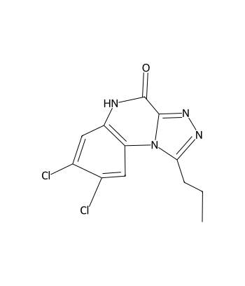 CCCc1nnc2c(=O)[nH]c3cc(Cl)c(Cl)cc3n12